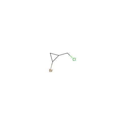 ClCC1CC1Br